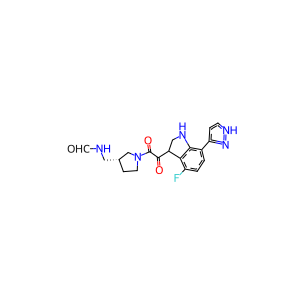 O=CNC[C@H]1CCN(C(=O)C(=O)C2CNc3c(-c4cc[nH]n4)ccc(F)c32)C1